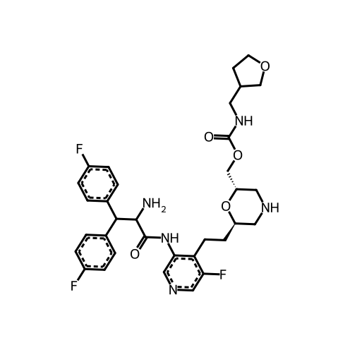 NC(C(=O)Nc1cncc(F)c1CC[C@@H]1CNC[C@@H](COC(=O)NCC2CCOC2)O1)C(c1ccc(F)cc1)c1ccc(F)cc1